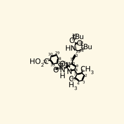 Cc1cccc(C)c1-c1cc(C#C[C@@H](CC(C)(C)C)NC(=O)OC(C)(C)C)nc(NS(=O)(=O)c2cccc(C(=O)O)c2)n1